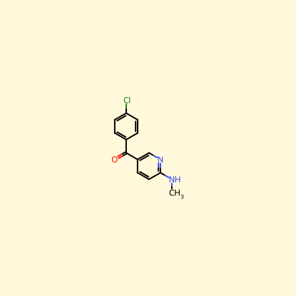 CNc1ccc(C(=O)c2ccc(Cl)cc2)cn1